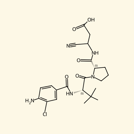 CC(C)(C)[C@H](NC(=O)c1ccc(N)c(Cl)c1)C(=O)N1CCC[C@H]1C(=O)NC(C#N)CC(=O)O